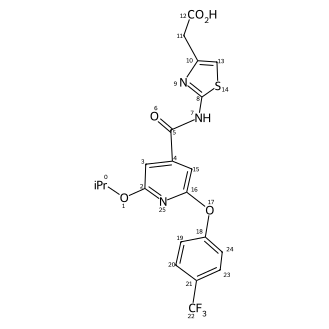 CC(C)Oc1cc(C(=O)Nc2nc(CC(=O)O)cs2)cc(Oc2ccc(C(F)(F)F)cc2)n1